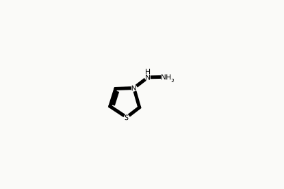 NNN1C=CSC1